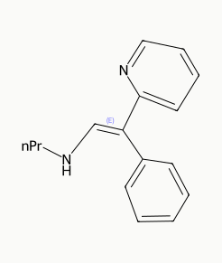 CCCN/C=C(\c1ccccc1)c1ccccn1